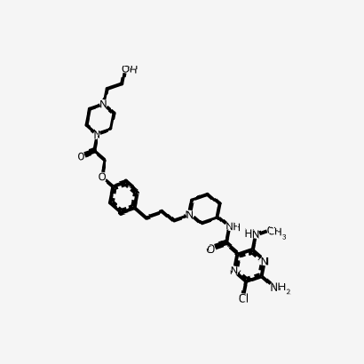 CNc1nc(N)c(Cl)nc1C(=O)NC1CCCN(CCCc2ccc(OCC(=O)N3CCN(CCO)CC3)cc2)C1